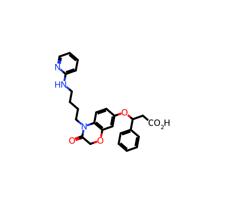 O=C(O)CC(Oc1ccc2c(c1)OCC(=O)N2CCCCNc1ccccn1)c1ccccc1